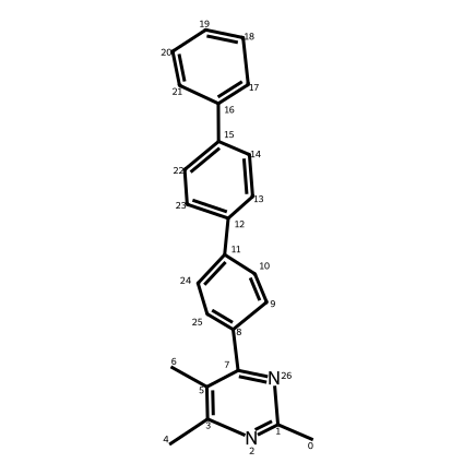 Cc1nc(C)c(C)c(-c2ccc(-c3ccc(-c4ccccc4)cc3)cc2)n1